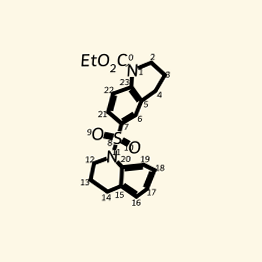 CCOC(=O)N1CCCc2cc(S(=O)(=O)N3CCCc4ccccc43)ccc21